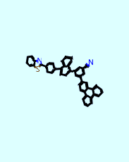 N#Cc1cc(-c2ccc3c4ccccc4c4ccccc4c3c2)cc(-c2ccc(-c3ccc(-c4nc5ccccc5s4)cc3)c3ccccc23)c1